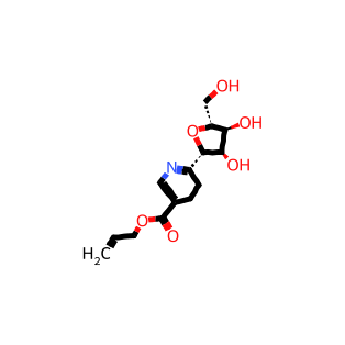 C=CCOC(=O)C1=CN=C([C@@H]2O[C@H](CO)[C@@H](O)[C@H]2O)CC1